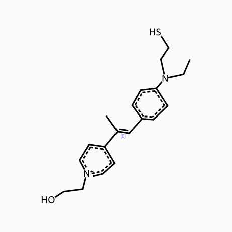 CCN(CCS)c1ccc(/C=C(\C)c2cc[n+](CCO)cc2)cc1